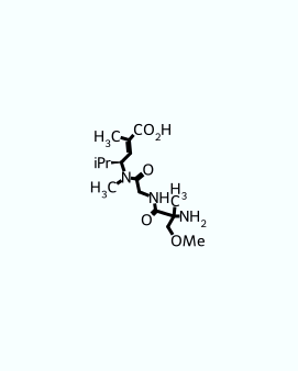 COCC(C)(N)C(=O)NCC(=O)N(C)[C@H](/C=C(\C)C(=O)O)C(C)C